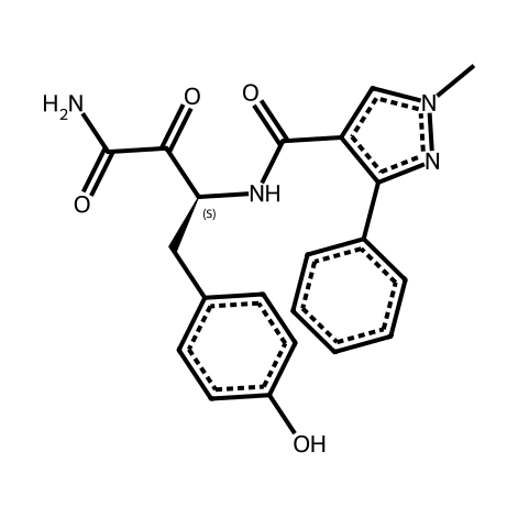 Cn1cc(C(=O)N[C@@H](Cc2ccc(O)cc2)C(=O)C(N)=O)c(-c2ccccc2)n1